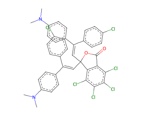 CN(C)c1ccc(/C(=C/C2(/C=C(\c3ccc(Cl)cc3)c3ccc(N(C)C)cc3)OC(=O)c3c(Cl)c(Cl)c(Cl)c(Cl)c32)c2ccc(Cl)cc2)cc1